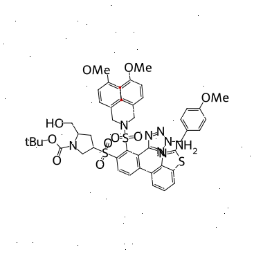 COc1ccc(CN(Cc2ccc(OC)cc2)S(=O)(=O)c2c(S(=O)(=O)C3CC(CO)N(C(=O)OC(C)(C)C)C3)ccc(-c3cccc4sc(N)nc34)c2-c2nnn(Cc3ccc(OC)cc3)n2)cc1